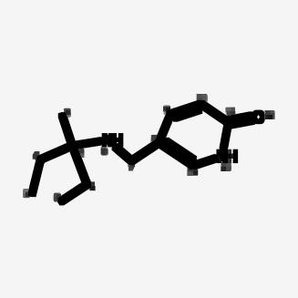 CCC(C)(CC)NCc1ccc(=O)[nH]c1